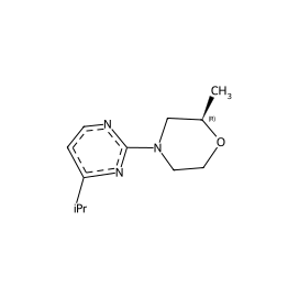 CC(C)c1ccnc(N2CCO[C@H](C)C2)n1